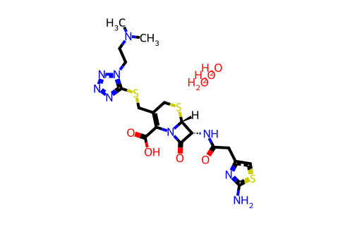 CN(C)CCn1nnnc1SCC1=C(C(=O)O)N2C(=O)[C@@H](NC(=O)Cc3csc(N)n3)[C@H]2SC1.O.O.O